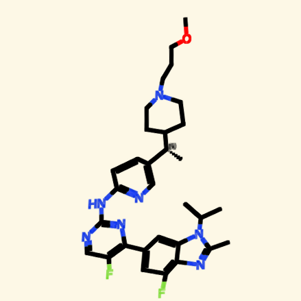 COCCCN1CCC([C@H](C)c2ccc(Nc3ncc(F)c(-c4cc(F)c5nc(C)n(C(C)C)c5c4)n3)nc2)CC1